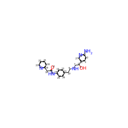 Nc1ccc([C@@H](O)CNCCc2ccc(NC(=O)Cc3ccccn3)cc2)cn1